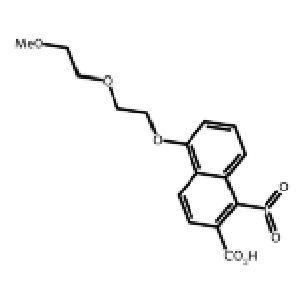 COCCOCCOc1cccc2c(I(=O)=O)c(C(=O)O)ccc12